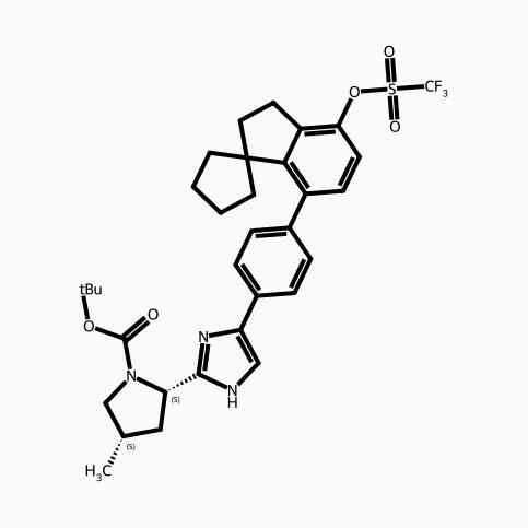 C[C@H]1C[C@@H](c2nc(-c3ccc(-c4ccc(OS(=O)(=O)C(F)(F)F)c5c4C4(CCCC4)CC5)cc3)c[nH]2)N(C(=O)OC(C)(C)C)C1